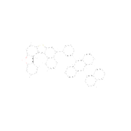 c1cc(-c2c3ccccc3c(-c3cccc4ccccc34)c3ccccc23)cc(-c2cc3sc4ccc5oc6ccccc6c5c4c3c3ccccc23)c1